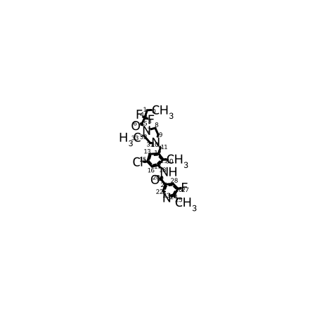 CCC(F)(F)C(=O)N1CCN(Cc2cc(Cl)cc(NC(=O)c3cnc(C)c(F)c3)c2C)C[C@@H]1C